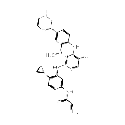 C=CC(=O)Nc1ccc(C2CC2)c(Nc2ncc(Cl)c(Nc3ccc(C4CNCCO4)cc3OC)n2)c1